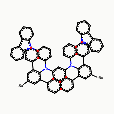 CC(C)(C)c1cc(-c2ccccc2)c(N(c2cccc(N(c3cccc(-n4c5ccccc5c5ccccc54)c3)c3c(-c4ccccc4)cc(C(C)(C)C)cc3-c3ccccc3)c2)c2cccc(-n3c4ccccc4c4ccccc43)c2)c(-c2ccccc2)c1